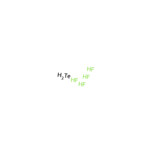 F.F.F.F.[TeH2]